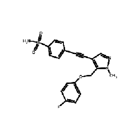 Cn1ncc(C#Cc2ccc(S(N)(=O)=O)cc2)c1COc1ccc(F)cc1